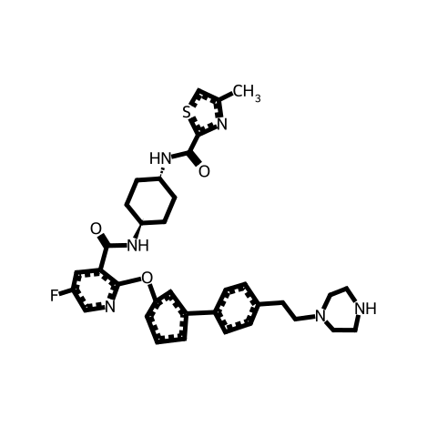 Cc1csc(C(=O)N[C@H]2CC[C@H](NC(=O)c3cc(F)cnc3Oc3cccc(-c4ccc(CCN5CCNCC5)cc4)c3)CC2)n1